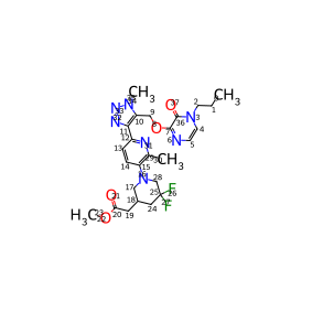 CCCn1ccnc(OCc2c(-c3ccc(N4CC(CC(=O)OC)CC(F)(F)C4)c(C)n3)nnn2C)c1=O